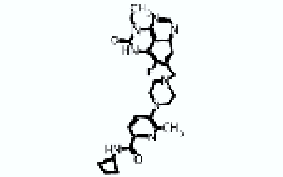 CCN1C(=O)Nc2c(F)c(CN3CCN(c4ccc(C(=O)NC5CCC5)nc4C)CC3)cc3ncnc1c23